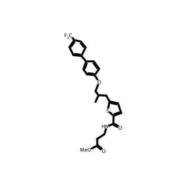 COC(=O)CCNC(=O)c1ccc(CC(C)COc2ccc(-c3ccc(C(F)(F)F)cc3)cc2)s1